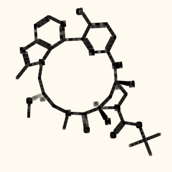 CO[C@H]1CN(C)C(=O)[C@@H]2C[C@@H](CN2C(=O)OC(C)(C)C)Nc2ccc(Cl)c(n2)-c2nccc3nc(C)n(c23)C1